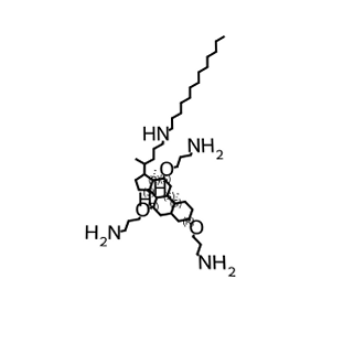 CCCCCCCCCCCCCNCCCC(C)C1CC[C@H]2C3[C@H](OCCCN)CC4C[C@H](OCCCN)CC[C@]4(C)[C@H]3C[C@H](OCCCN)[C@]12C